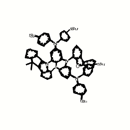 CC(C)(C)c1ccc(N(c2ccc(C(C)(C)C)cc2)c2ccc3c(c2)N(c2cccc4c2oc2ccccc24)c2cc(N(c4ccc(C(C)(C)C)cc4)c4ccc(C(C)(C)C)cc4)cc4c2B3c2cccc3c5c(n-4c23)-c2ccccc2C5(C)C)cc1